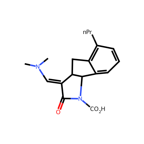 CCCc1cccc2c1CC1C(=CN(C)C)C(=O)N(C(=O)O)C21